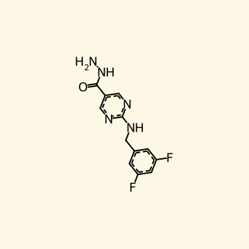 NNC(=O)c1cnc(NCc2cc(F)cc(F)c2)nc1